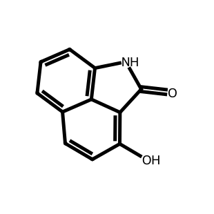 O=C1Nc2cccc3ccc(O)c1c23